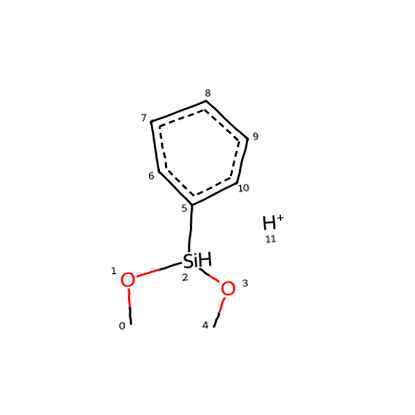 CO[SiH](OC)c1ccccc1.[H+]